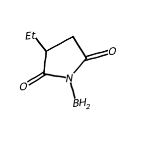 BN1C(=O)CC(CC)C1=O